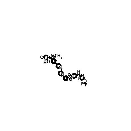 Cn1nc(N2CCC(=O)NC2=O)c2ccc(C3CCN(C[C@@H]4CCCN(c5cccc(S(=O)(=O)N6CCC(Nc7ncc(OC(F)F)cn7)CC6)c5)C4)CC3)cc21